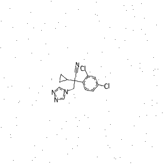 N#CC(Cn1cnnc1)(c1ccc(Cl)cc1Cl)C1CC1